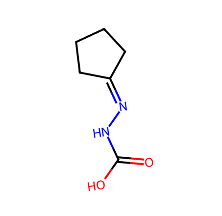 O=C(O)NN=C1CCCC1